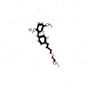 C=CCOCCCCc1ccc(Cc2cc(C)ccc2C)cc1